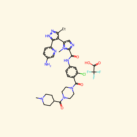 CCc1n[nH]c(-c2ccc(N)cn2)c1-c1cnc(C(=O)Nc2ccc(C(=O)N3CCN(C(=O)C4CCN(C)CC4)CC3)c(Cl)c2)n1C.O=C(O)C(F)(F)F